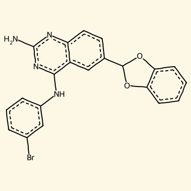 Nc1nc(Nc2cccc(Br)c2)c2cc(C3Oc4ccccc4O3)ccc2n1